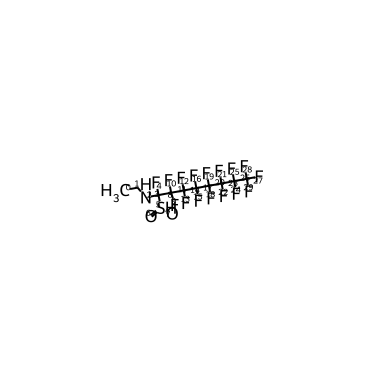 CCNC(F)([SH](=O)=O)C(F)(F)C(F)(F)C(F)(F)C(F)(F)C(F)(F)C(F)(F)C(F)(F)F